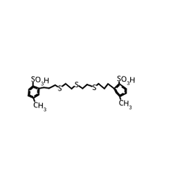 Cc1ccc(S(=O)(=O)O)c(CCCSCCSCCSCCCc2cc(C)ccc2S(=O)(=O)O)c1